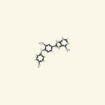 Nc1cc(-c2nc3c(O)ncnc3s2)ccc1Sc1ccc(Cl)cc1